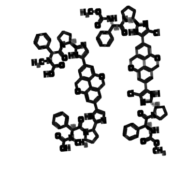 CN(C(=O)O)C(C(=O)N1CCC[C@H]1c1ncc(-c2cc3c4c(c2)OCc2cc(-c5cnc(C6CCCN6C(=O)[C@H](c6ccccc6)N(C)C(=O)O)[nH]5)cc(c2-4)OC3)[nH]1)c1ccccc1.COC(=O)N[C@H](C(=O)N1CCC[C@H]1c1nc(Cl)c(-c2cc3c4c(c2)OCc2cc(-c5[nH]c([C@@H]6CCCN6C(=O)[C@@H](NC(=O)OC)c6ccccc6)nc5Cl)cc(c2-4)OC3)[nH]1)c1ccccc1